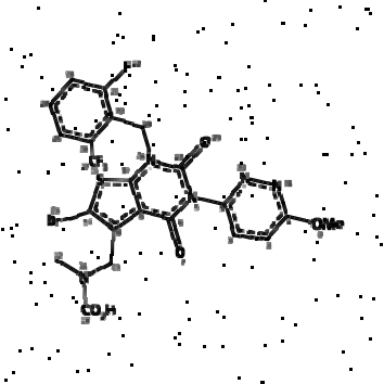 COc1ccc(-n2c(=O)c3c(CN(C)C(=O)O)c(Br)sc3n(Cc3c(F)cccc3C(F)(F)F)c2=O)nn1